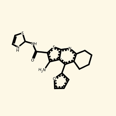 Nc1c(C(=O)NC2NC=CS2)sc2nc3c(c(-c4ccco4)c12)CCCC3